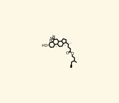 C#CCC(C)CCOC(=O)CC[C@@H](C)C1CCC2C3CC4(N=N4)[C@H]4C[C@@H](O)CC[C@]4(C)C3CC[C@@]21C